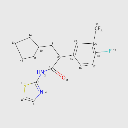 O=C(Nc1nccs1)C(CC1CCCC1)c1ccc(F)c(C(F)(F)F)c1